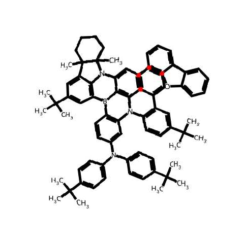 CC(C)(C)c1ccc(N(c2ccc(C(C)(C)C)cc2)c2ccc3c(c2)N(c2ccc(C(C)(C)C)cc2-c2ccccc2)c2cc(-c4cccc5c4oc4ccccc45)cc4c2B3c2cc(C(C)(C)C)cc3c2N4C2(C)CCCCC32C)cc1